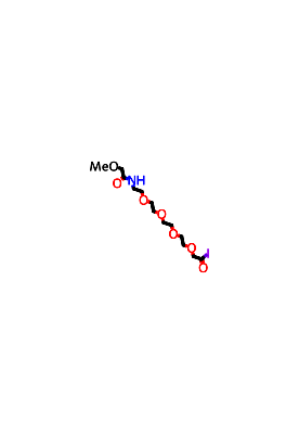 COCC(=O)NCCOCCOCCOCCOCC(=O)I